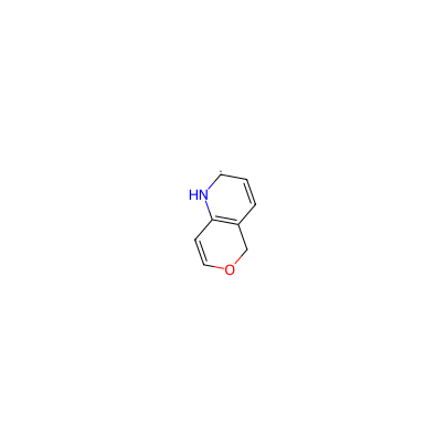 [CH]1C=CC2=C(C=COC2)N1